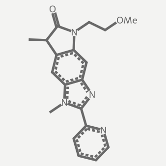 COCCN1C(=O)C(C)c2cc3c(cc21)nc(-c1ccccn1)n3C